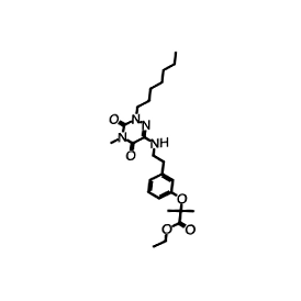 CCCCCCCn1nc(NCCc2cccc(OC(C)(C)C(=O)OCC)c2)c(=O)n(C)c1=O